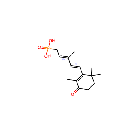 CC1=C(/C=C/C(C)=C/CP(=O)(O)O)C(C)(C)CCC1=O